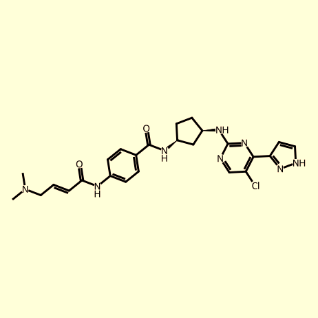 CN(C)C/C=C/C(=O)Nc1ccc(C(=O)N[C@H]2CC[C@@H](Nc3ncc(Cl)c(-c4cc[nH]n4)n3)C2)cc1